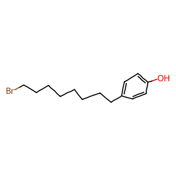 Oc1ccc(CCCCCCCCBr)cc1